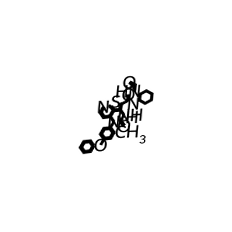 Cc1cc(Oc2ccccc2)ccc1N1C(=O)Nc2c(C(=O)N[C@H]3CCCC[C@@H]3NC=O)sc3nccc1c23